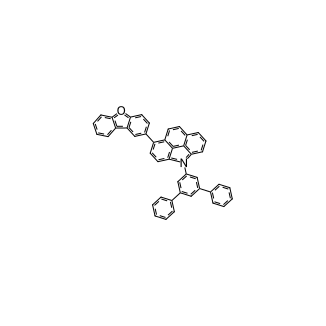 c1ccc(-c2cc(-c3ccccc3)cc(-n3c4cccc5ccc6c(-c7ccc8oc9ccccc9c8c7)ccc3c6c54)c2)cc1